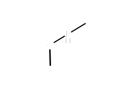 CO[PH3]C